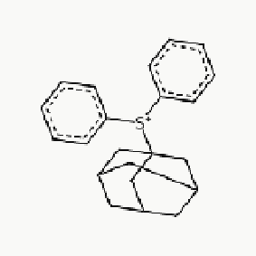 c1ccc([S+](c2ccccc2)C23CC4CC(CC(C4)C2)C3)cc1